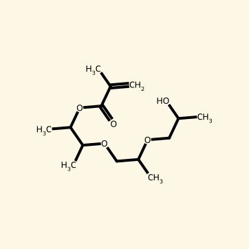 C=C(C)C(=O)OC(C)C(C)OCC(C)OCC(C)O